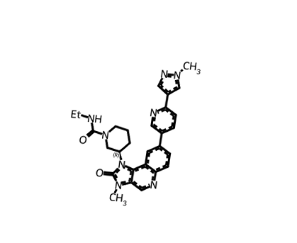 CCNC(=O)N1CCC[C@@H](n2c(=O)n(C)c3cnc4ccc(-c5ccc(-c6cnn(C)c6)nc5)cc4c32)C1